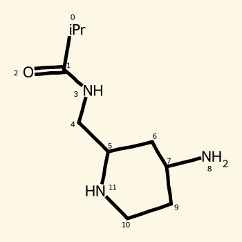 CC(C)C(=O)NCC1CC(N)CCN1